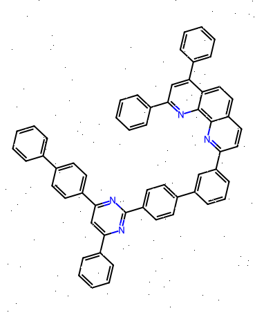 c1ccc(-c2ccc(-c3cc(-c4ccccc4)nc(-c4ccc(-c5cccc(-c6ccc7ccc8c(-c9ccccc9)cc(-c9ccccc9)nc8c7n6)c5)cc4)n3)cc2)cc1